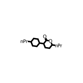 CCCC1CCC(C2CCC(CCC)OC2=O)CC1